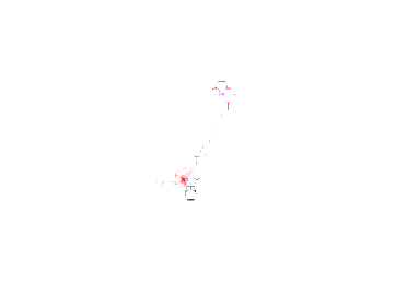 CO[Si](CC1C2C=CC1C1C(=O)N(CCC(=O)NCCOCCOCCC(=O)ON3C(=O)CCC3=O)C(=O)C21)(OC)OC